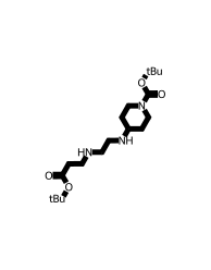 CC(C)(C)OC(=O)CCNCCNC1CCN(C(=O)OC(C)(C)C)CC1